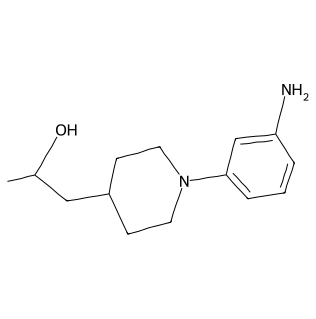 CC(O)CC1CCN(c2cccc(N)c2)CC1